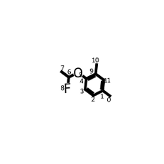 Cc1ccc(OC(C)F)c(C)c1